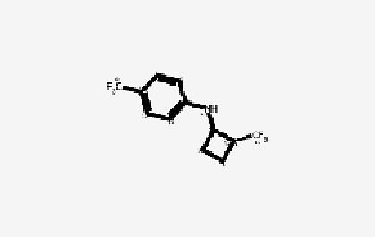 FC(F)(F)c1ccc(NC2CC[C@@H]2C(F)(F)F)cc1